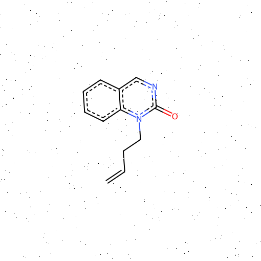 C=CCCn1c(=O)ncc2ccccc21